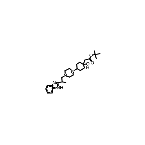 CC(CN1CCN(C2CCC(O)(CC(=O)OC(C)(C)C)CC2)CC1)c1nc2ccccc2[nH]1